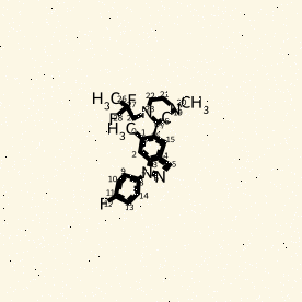 Cc1cc2c(cnn2-c2ccc(F)cc2)cc1[C@@H]1CN(C)CCN1CC(C)(F)F